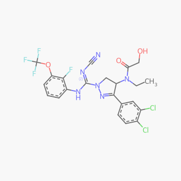 CCN(C(=O)CO)C1CN(/C(=N\C#N)Nc2cccc(OC(F)(F)F)c2F)N=C1c1ccc(Cl)c(Cl)c1